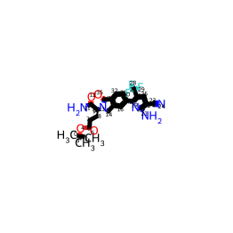 CC(C)(C)OC(=O)CC[C@@H](C(N)=O)N1Cc2cc(-c3nc(N)c(C#N)cc3C(F)(F)F)ccc2C1=O